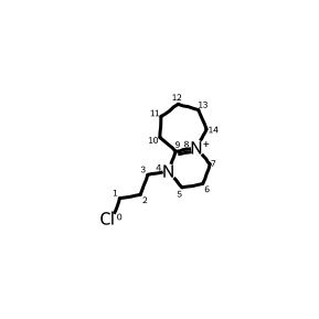 ClCCCN1CCC[N+]2=C1CCCCC2